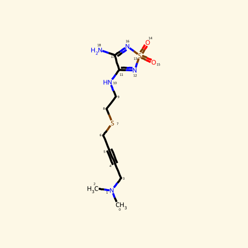 CN(C)CC#CCSCCNC1=NS(=O)(=O)N=C1N